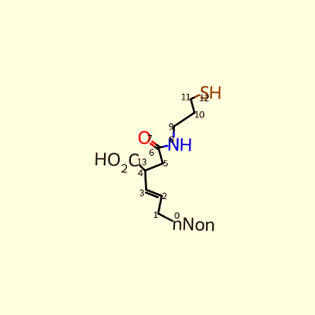 CCCCCCCCCCC=CC(CC(=O)NCCCS)C(=O)O